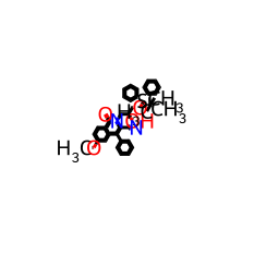 COc1ccc2c(=O)n(CC(O)CO[Si](c3ccccc3)(c3ccccc3)C(C)(C)C)c(C#N)c(-c3ccccc3)c2c1